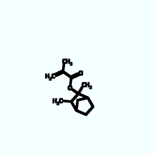 C=C(C)C(=O)OC1(C)C2CCC(C2)C1C